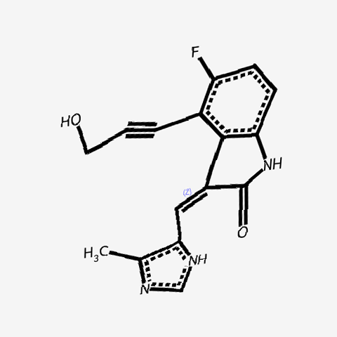 Cc1nc[nH]c1/C=C1\C(=O)Nc2ccc(F)c(C#CCO)c21